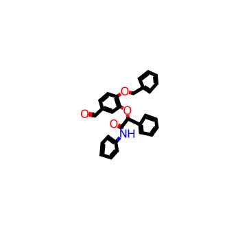 O=Cc1ccc(OCc2ccccc2)c(OC(C(=O)Nc2ccccc2)c2ccccc2)c1